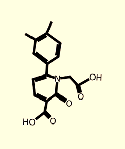 Cc1ccc(-c2ccc(C(=O)O)c(=O)n2CC(=O)O)cc1C